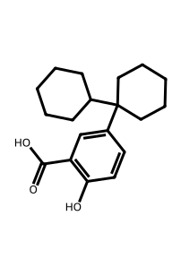 O=C(O)c1cc(C2(C3CCCCC3)CCCCC2)ccc1O